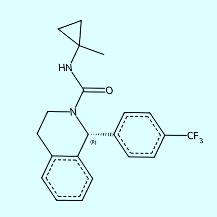 CC1(NC(=O)N2CCc3ccccc3[C@H]2c2ccc(C(F)(F)F)cc2)CC1